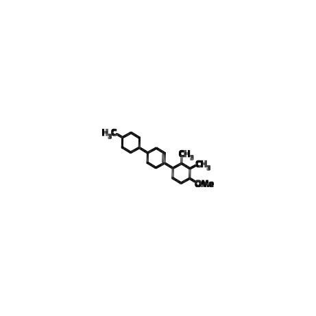 COC1CCC(C2=CCC(C3CCC(C)CC3)CC2)C(C)C1C